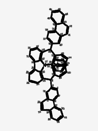 c1ccc(C(c2ccc3c(ccc4ccccc43)c2)c2cccc3c4cccc(C(c5ccccc5)c5ccc6c(ccc7ccccc76)c5)c4n(-c4ccccc4)c23)cc1